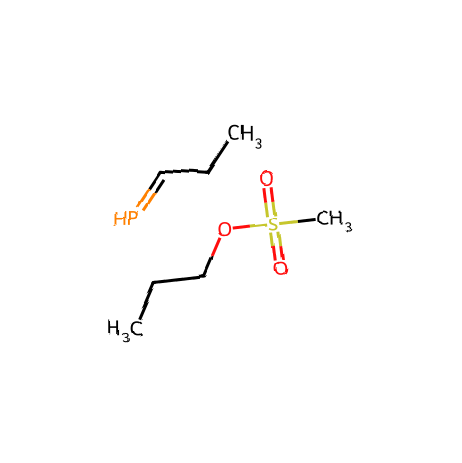 CCC=P.CCCOS(C)(=O)=O